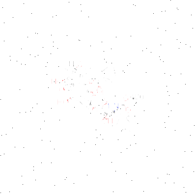 CC1=C2[C@@H](O)C(=O)[C@@]3(C)C([C@H](OC(=O)c4ccccc4)[C@](O)(C[C@@H]1OC(=O)[C@H](O)[C@@H](NC(=O)OC(C)(C)C)c1ccccc1)C2(C)C)[C@]1(C)CO[C@@H]1C[C@@H]3O